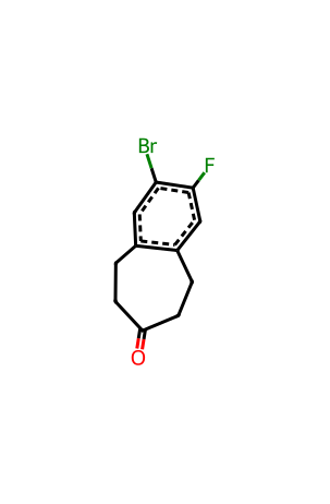 O=C1CCc2cc(F)c(Br)cc2CC1